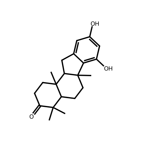 CC1(C)C(=O)CCC2(C)C1CCC1(C)c3c(O)cc(O)cc3CC12